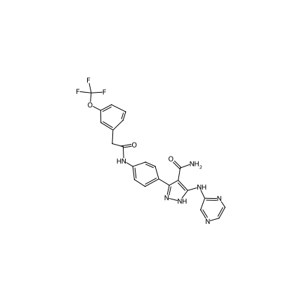 NC(=O)c1c(-c2ccc(NC(=O)Cc3cccc(OC(F)(F)F)c3)cc2)n[nH]c1Nc1cnccn1